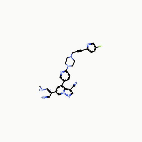 CN/C=C(\C=N)c1cc(-c2ccc(N3CCN(CC#Cc4ccc(F)cn4)CC3)nc2)c2c(C#N)cnn2c1